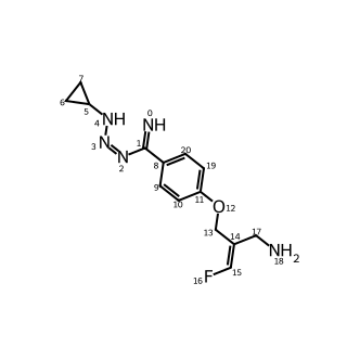 N=C(/N=N\NC1CC1)c1ccc(OC/C(=C\F)CN)cc1